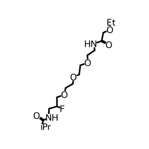 CCOCC(=O)NCCOCCOCCOCC(F)CNC(=O)C(C)C